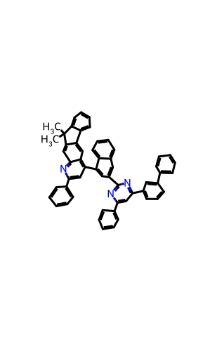 CC1(C)c2ccccc2-c2cc3c(-c4cc(-c5nc(-c6ccccc6)cc(-c6cccc(-c7ccccc7)c6)n5)cc5ccccc45)cc(-c4ccccc4)nc3cc21